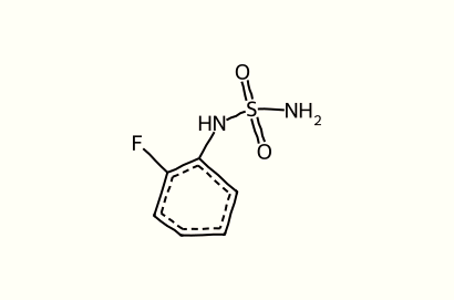 NS(=O)(=O)Nc1ccccc1F